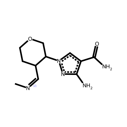 C/N=C\C1CCOCC1n1cc(C(N)=O)c(N)n1